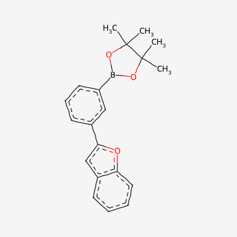 CC1(C)OB(c2cccc(-c3cc4ccccc4o3)c2)OC1(C)C